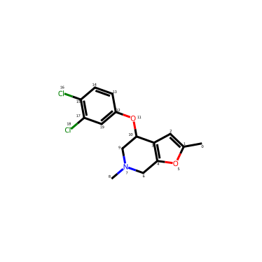 Cc1cc2c(o1)CN(C)CC2Oc1ccc(Cl)c(Cl)c1